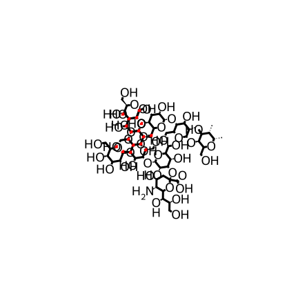 CC1C(O)[C@H](O[C@@H]2OC(CO)[C@H](O)C(O[C@]3(C(=O)O)C[C@@H](O)[C@@H](N)C([C@H](O)[C@H](O)CO)O3)[C@@H]2O)[C@H](CO)O[C@H]1O[C@@H]1C(O)[C@H](O)C(CO)O[C@@H]1OCC1O[C@@H](O[C@@H]2C(CO)O[C@@H](O[C@@H]3C(CO)O[C@@H](C)[C@@H](C)C3O)[C@@H](C)C2O)[C@H](O)C(O[C@H]2O[C@H](CO)[C@@H](O)C(O)C2O[C@@H]2OC(CO)[C@@H](O[C@@H]3OC(CO)[C@H](O)C(O)[C@@H]3O)C(O)[C@@H]2C)[C@@H]1O